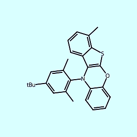 Cc1cc(C(C)(C)C)cc(C)c1N1c2ccccc2Oc2sc3c(C)cccc3c21